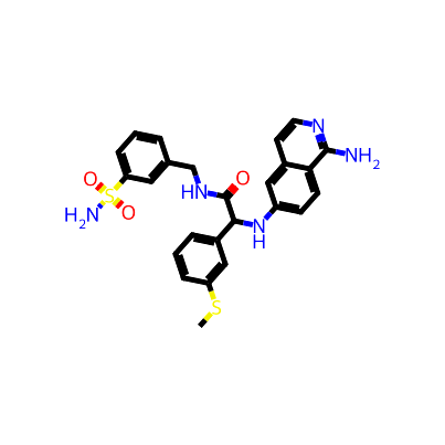 CSc1cccc(C(Nc2ccc3c(N)nccc3c2)C(=O)NCc2cccc(S(N)(=O)=O)c2)c1